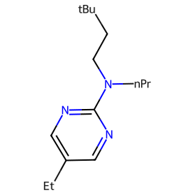 CCCN(CCC(C)(C)C)c1ncc(CC)cn1